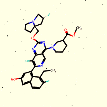 CCc1c(F)ccc2cc(O)cc(-c3ncc4c(N5CCCC(C(=O)OC)C5)nc(OC[C@@]56CCCN5C[C@H](F)C6)nc4c3F)c12